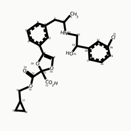 CC(Cc1cccc(C2=COC(C(=O)O)(C(=O)OCC3CC3)O2)c1)NCC(O)c1cccc(Cl)c1